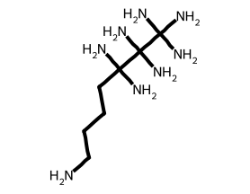 NCCCCC(N)(N)C(N)(N)C(N)(N)N